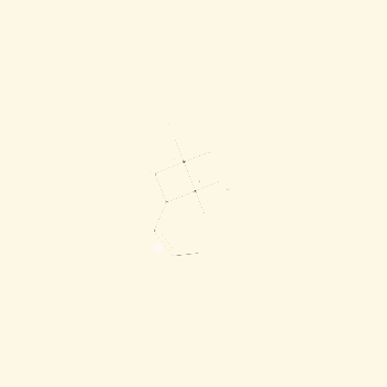 C/C=C\C1CC(F)(F)C1(F)C(F)(F)F